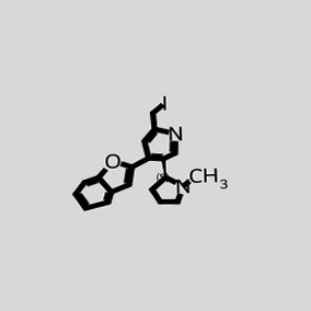 CN1CCC[C@H]1c1cnc(CI)cc1-c1cc2ccccc2o1